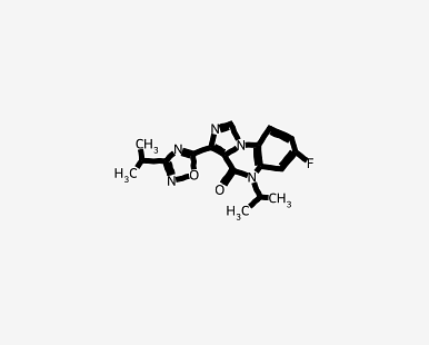 CC(C)c1noc(-c2ncn3c2c(=O)n(C(C)C)c2cc(F)ccc23)n1